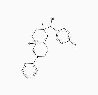 CC1(C(O)c2ccc(F)cc2)CC[C@H]2CN(c3ncccn3)CCN2C1